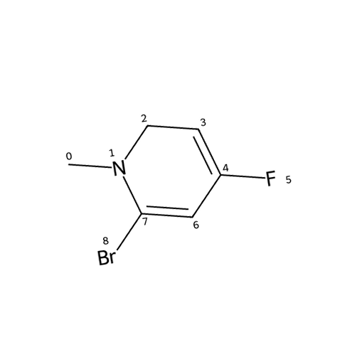 CN1CC=C(F)C=C1Br